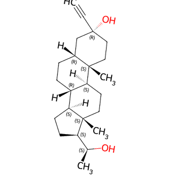 C#C[C@@]1(O)CC[C@@]2(C)[C@H](CC[C@@H]3[C@@H]2CC[C@]2(C)[C@@H]([C@H](C)O)CC[C@@H]32)C1